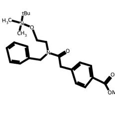 COC(=O)c1ccc(CC(=O)N(CCO[Si](C)(C)C(C)(C)C)Cc2ccccc2)cc1